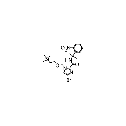 CC(C)(NC(=O)c1nc(Br)cn1COCC[Si](C)(C)C)c1ccccc1[N+](=O)[O-]